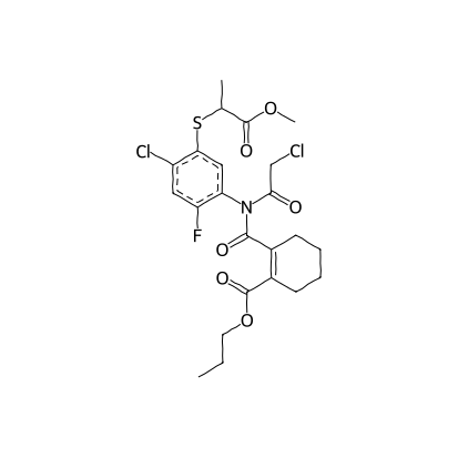 CCCOC(=O)C1=C(C(=O)N(C(=O)CCl)c2cc(SC(C)C(=O)OC)c(Cl)cc2F)CCCC1